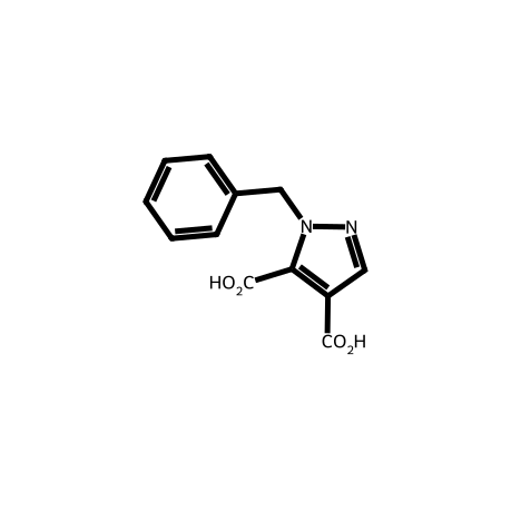 O=C(O)c1cnn(Cc2ccccc2)c1C(=O)O